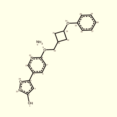 N.Oc1cc(-c2ccc(OCC3CC(Oc4ccccc4)C3)nc2)on1